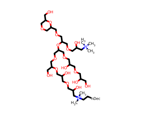 CCCCCCCCCCCC[N+](C)(C)CC(O)COCC(O)COC(CO)COCC(COCC(O)COCC(O)CO)OC(COCC(O)C[N+](C)(C)C)COCC1COCC(CO)O1